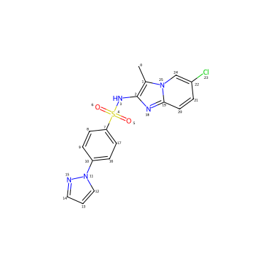 Cc1c(NS(=O)(=O)c2ccc(-n3cccn3)cc2)nc2ccc(Cl)cn12